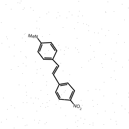 CNc1ccc(/C=C/c2ccc([N+](=O)[O-])cc2)cc1